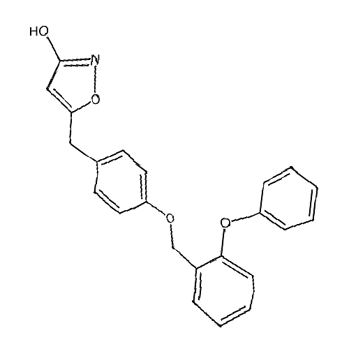 Oc1cc(Cc2ccc(OCc3ccccc3Oc3ccccc3)cc2)on1